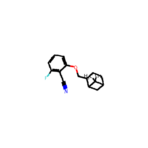 CC1(C)C2CCC(COc3cccc(F)c3C#N)C1C2